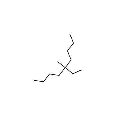 C[CH]C(C)(CCCC)CCCC